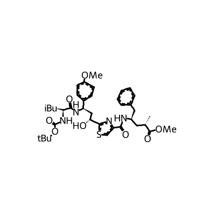 CC[C@H](C)[C@H](NC(=O)OC(C)(C)C)C(=O)N[C@H](C[C@@H](O)c1nc(C(=O)N[C@@H](Cc2ccccc2)C[C@H](C)C(=O)OC)cs1)c1ccc(OC)cc1